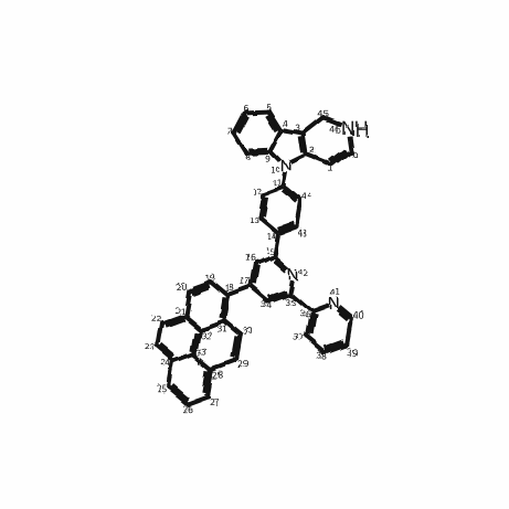 C1=Cc2c(c3ccccc3n2-c2ccc(-c3cc(-c4ccc5ccc6cccc7ccc4c5c67)cc(-c4ccccn4)n3)cc2)CN1